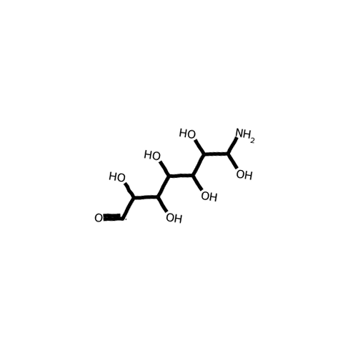 NC(O)C(O)C(O)C(O)C(O)C(O)[C]=O